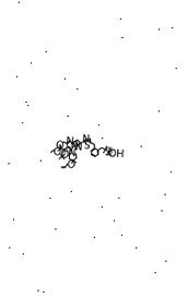 C=CCOC1(C)CCN(c2c([C@H](OC(C)(C)C)C(=O)OCC)c(C)nc3cc(-c4ncc(Cc5ccccc5CC(C)(C)[Si](C)(C)O)s4)nn23)CC1